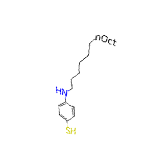 CCCCCCCCCCCCCCNc1ccc(S)cc1